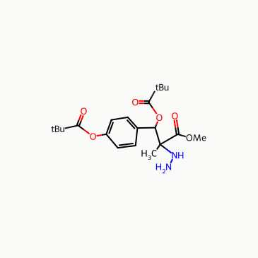 COC(=O)C(C)(NN)C(OC(=O)C(C)(C)C)c1ccc(OC(=O)C(C)(C)C)cc1